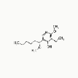 CCCCCC(OC)c1cnc(OC)c(OC)c1O